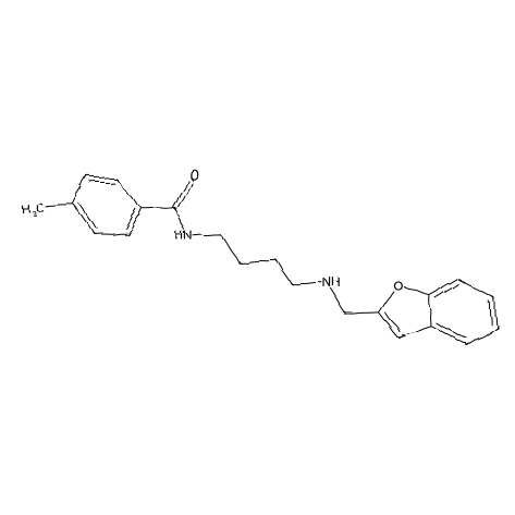 Cc1ccc(C(=O)NCCCCNCc2cc3ccccc3o2)cc1